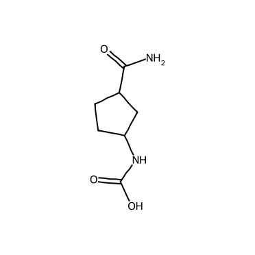 NC(=O)C1CCC(NC(=O)O)C1